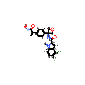 CC(C(=O)N=O)c1ccc(C2(NC(=O)c3cc4c(Cl)c(Cl)ccc4n3C)COC2)cc1